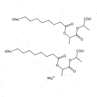 CCCCCCCCCCCCCCCCCC(=O)OC(C)C(=O)OC(C)C(=O)[O-].CCCCCCCCCCCCCCCCCC(=O)OC(C)C(=O)OC(C)C(=O)[O-].[Mg+2]